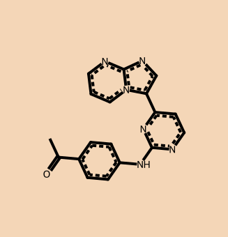 CC(=O)c1ccc(Nc2nccc(-c3cnc4ncccn34)n2)cc1